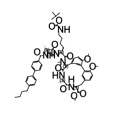 CCCCc1ccc(-c2ccc(C(=O)N[C@H](C)C(=O)N[C@@H](CCCCNC(=O)OC(C)(C)C)C(=O)N(C)[C@@H]3C(=O)N[C@@H](C)C(=O)N[C@H](C(=O)OC)Cc4ccc(OC)c(c4)-c4cc3ccc4OC)cc2)cc1